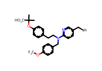 CC(C)Cc1ccc(N(CCc2ccc(OC(C)(C)C(=O)O)cc2)Cc2ccc(OC(F)(F)F)cc2)nc1